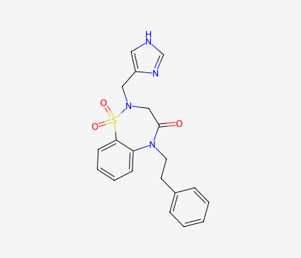 O=C1CN(Cc2c[nH]cn2)S(=O)(=O)c2ccccc2N1CCc1ccccc1